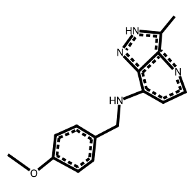 COc1ccc(CNc2ccnc3c(C)[nH]nc23)cc1